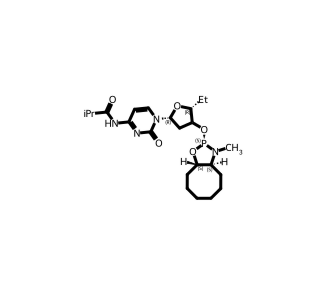 CC[C@H]1O[C@@H](n2ccc(NC(=O)C(C)C)nc2=O)CC1O[P@@]1O[C@H]2CCCCCC[C@@H]2N1C